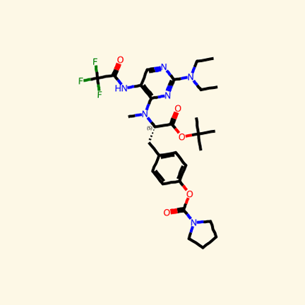 CCN(CC)c1ncc(NC(=O)C(F)(F)F)c(N(C)[C@@H](Cc2ccc(OC(=O)N3CCCC3)cc2)C(=O)OC(C)(C)C)n1